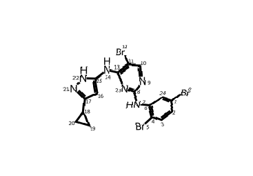 Brc1ccc(Br)c(Nc2ncc(Br)c(Nc3cc(C4CC4)n[nH]3)n2)c1